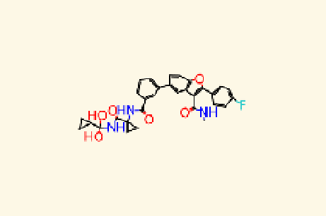 CNC(=O)c1c(-c2ccc(F)cc2)oc2ccc(-c3cccc(C(=O)NC4(C(=O)NC(O)(O)C5CC5)CC4)c3)cc12